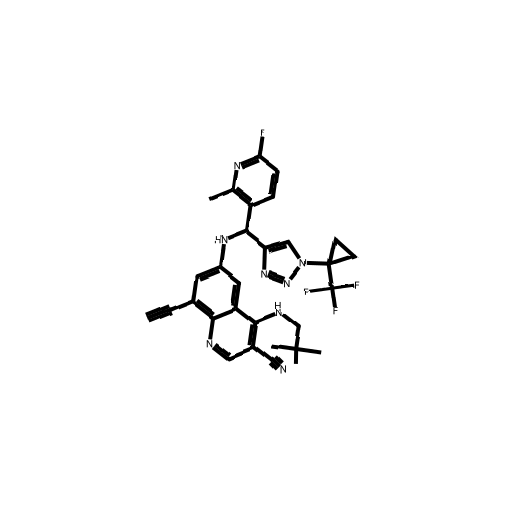 C#Cc1cc(NC(c2cn(C3(C(F)(F)F)CC3)nn2)c2ccc(F)nc2C)cc2c(NCC(C)(C)C)c(C#N)cnc12